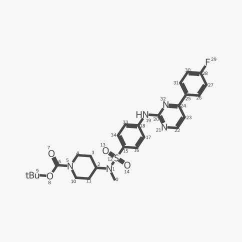 CN(C1CCN(C(=O)OC(C)(C)C)CC1)S(=O)(=O)c1ccc(Nc2nccc(-c3ccc(F)cc3)n2)cc1